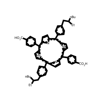 CCCCC(CC)Cc1ccc(-c2c3nc(c(-c4ccc(C(=O)O)cc4)c4ccc([nH]4)c(-c4ccc(CC(CC)CCCC)cc4)c4nc(c(-c5ccc(C(=O)O)cc5)c5ccc2[nH]5)C=C4)C=C3)cc1